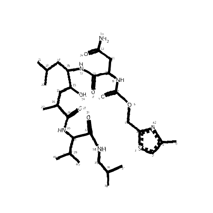 Cc1csc(COC(=O)NC(CC(N)=O)C(=O)NC(CC(C)C)C(O)CC(C)C(=O)NC(C(=O)NCC(C)C)C(C)C)n1